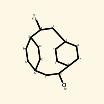 ClC1CC2CCC(CC2)C(Cl)CC2CCC1CC2